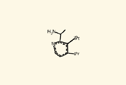 CC(C)c1ccnc(C(C)N)c1C(C)C